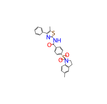 Cc1ccc2c(c1)CCN2S(=O)(=O)c1ccc(C(=O)Nc2nc(-c3ccccc3)c(C)s2)cc1